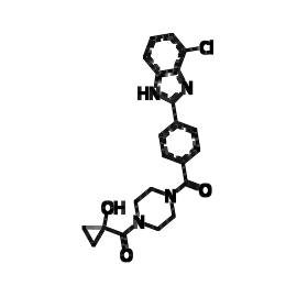 O=C(c1ccc(-c2nc3c(Cl)cccc3[nH]2)cc1)N1CCN(C(=O)C2(O)CC2)CC1